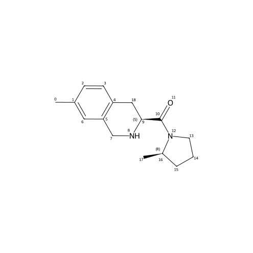 Cc1ccc2c(c1)CN[C@H](C(=O)N1CCC[C@H]1C)C2